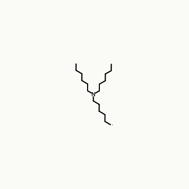 [CH2]CCCCCN(CCCCCC)CCCCCC